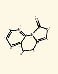 O=c1occ2n1-c1ncccc1OC2